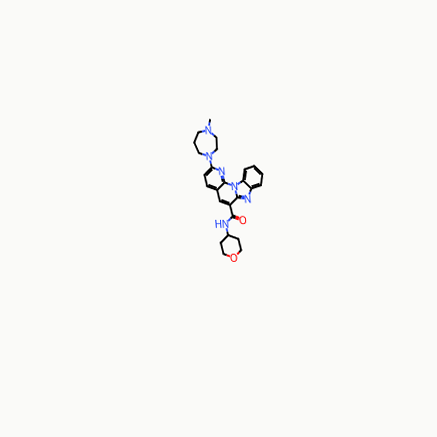 CN1CCCN(c2ccc3cc(C(=O)NC4CCOCC4)c4nc5ccccc5n4c3n2)CC1